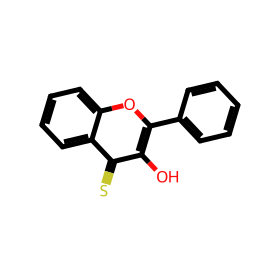 Oc1c(-c2ccccc2)oc2ccccc2c1=S